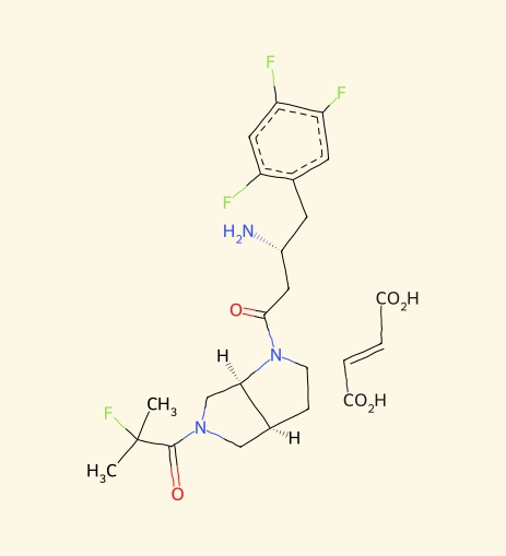 CC(C)(F)C(=O)N1C[C@@H]2CCN(C(=O)C[C@H](N)Cc3cc(F)c(F)cc3F)[C@@H]2C1.O=C(O)C=CC(=O)O